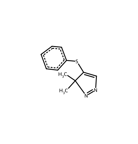 CC1(C)N=NC=C1Sc1ccccc1